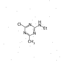 CCNc1nc(C)nc(Cl)n1